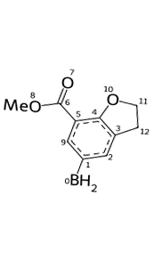 Bc1cc2c(c(C(=O)OC)c1)OCC2